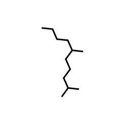 CCCCC(C)CCCC(C)C